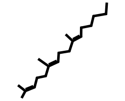 CCCCC/C=C(\C)CC/C=C(\C)CCC=C(C)C